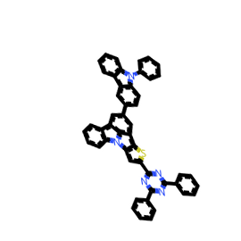 c1ccc(-c2nc(-c3ccccc3)nc(-c3cc4c(s3)c3cc(-c5ccc6c(c5)c5ccccc5n6-c5ccccc5)cc5c6ccccc6n4c53)n2)cc1